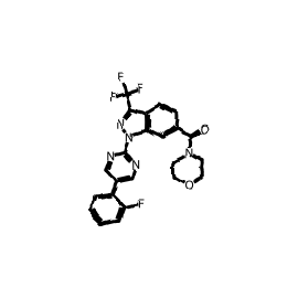 O=C(c1ccc2c(C(F)(F)F)nn(-c3ncc(-c4ccccc4F)cn3)c2c1)N1CCOCC1